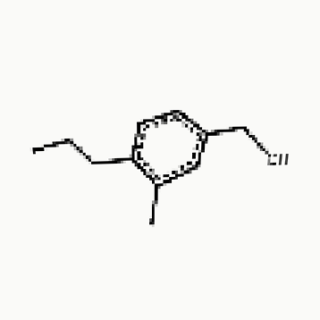 CCCc1ccc(CO)cc1C